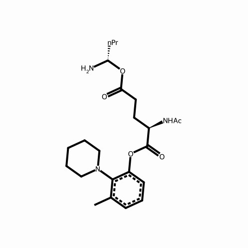 CCC[C@@H](N)OC(=O)CC[C@@H](NC(C)=O)C(=O)Oc1cccc(C)c1N1CCCCC1